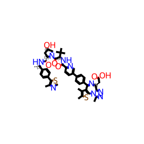 Cc1ncsc1-c1ccc([C@H](C)NC(=O)[C@@H]2C[C@@H](O)CN2C(=O)[C@@H](NC(=O)c2ccc(-c3ccc(C4=N[C@@H](CC(=O)O)c5nnc(C)n5-c5sc(C)c(C)c54)cc3)cn2)C(C)(C)C)cc1